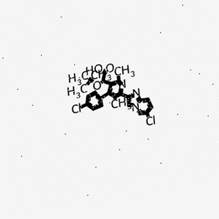 Cc1nc(-c2cn3cc(Cl)ccc3n2)c(C)c(-c2ccc(Cl)cc2)c1C(OC(C)(C)C)C(=O)O